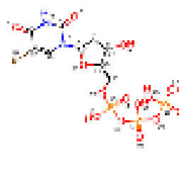 O=c1[nH]c(=O)n([C@H]2C[C@H](O)[C@@H](COP(=O)(O)OP(=O)(O)OP(=O)(O)O)O2)cc1Br